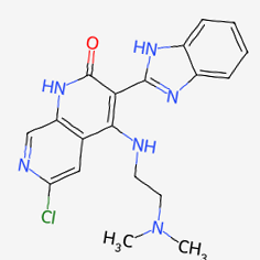 CN(C)CCNc1c(-c2nc3ccccc3[nH]2)c(=O)[nH]c2cnc(Cl)cc12